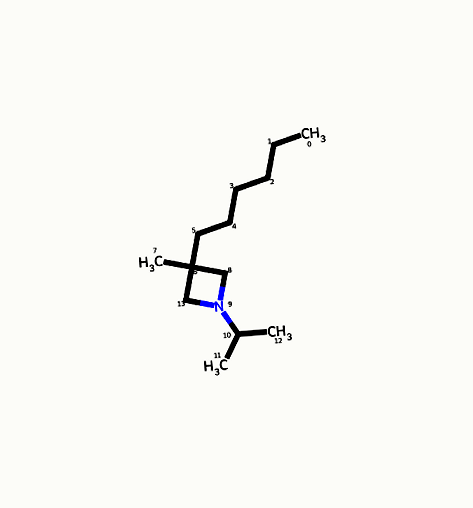 CCCCCCC1(C)CN(C(C)C)C1